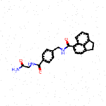 NC(=O)CNC(=O)c1ccc(CNC(=O)c2ccc3c4c(cccc24)CC3)cc1